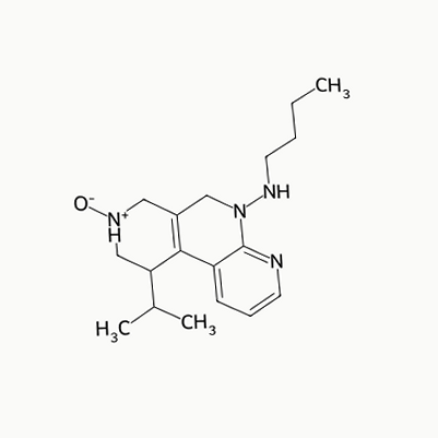 CCCCNN1CC2=C(c3cccnc31)C(C(C)C)C[NH+]([O-])C2